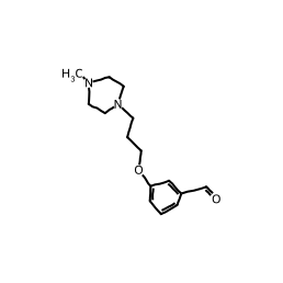 CN1CCN(CCCOc2cccc(C=O)c2)CC1